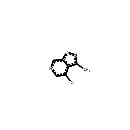 Cc1noc2cncc(Cl)c12